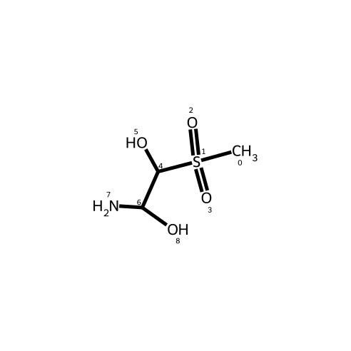 CS(=O)(=O)C(O)C(N)O